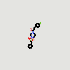 O=C(/C=C/c1ccc(F)cc1)N1CCCN(S(=O)(=O)/C=C/c2ccccc2)CC1